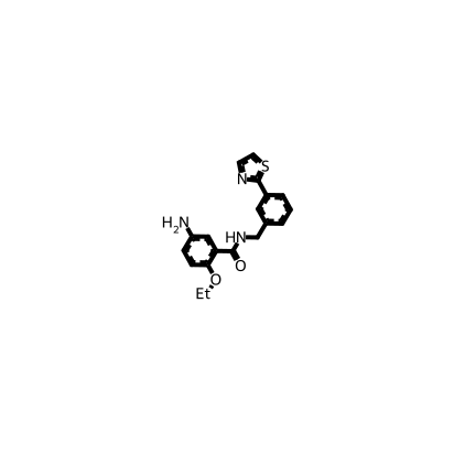 CCOc1ccc(N)cc1C(=O)NCc1cccc(-c2nccs2)c1